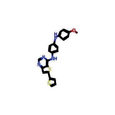 COc1ccc(Nc2ccc(Nc3ncnc4cc(-c5cccs5)sc34)cc2)cc1